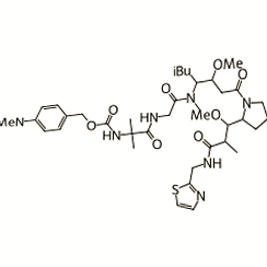 CCC(C)C(C(CC(=O)N1CCCC1C(OC)C(C)C(=O)NCc1nccs1)OC)N(C)C(=O)CNC(=O)C(C)(C)NC(=O)OCc1ccc(NC)cc1